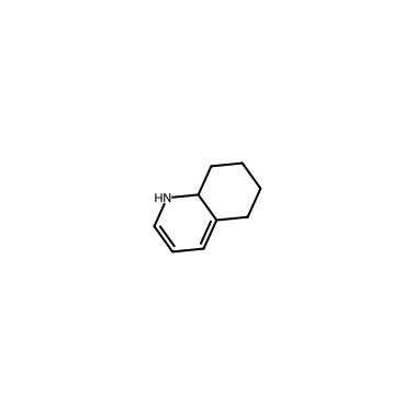 C1=CNC2CCCCC2=C1